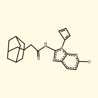 O=C(CC12CC3CC(CC(C3)C1)C2)Nc1nc2ccc(Cl)nc2n1C1=CC=C1